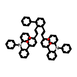 C(=Cc1cccc(-c2ccccc2)c1C=Cc1ccc(-c2ccccc2N(c2ccccc2)c2ccccc2)cc1)c1ccc(-c2ccccc2N(c2ccccc2)c2ccccc2)cc1